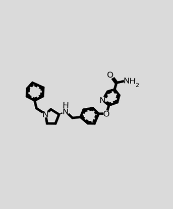 NC(=O)c1ccc(Oc2ccc(CN[C@@H]3CCN(Cc4ccccc4)C3)cc2)nc1